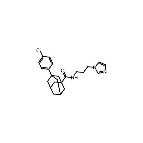 O=C(NCCCn1ccnc1)C12CC3CC(C1)CC(c1ccc(Cl)cc1)(C3)C2